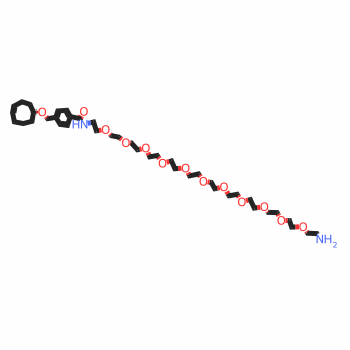 NCCOCCOCCOCCOCCOCCOCCOCCOCCOCCOCCOCCNC(=O)c1ccc(CO[C@@H]2CCC=CCCC2)cc1